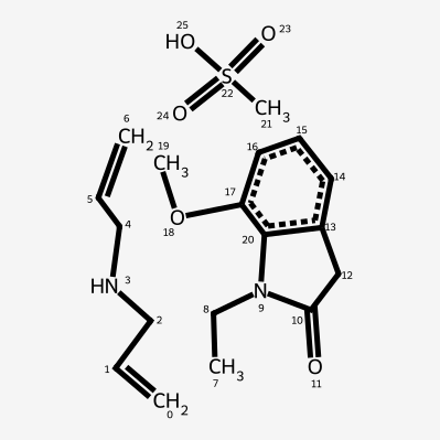 C=CCNCC=C.CCN1C(=O)Cc2cccc(OC)c21.CS(=O)(=O)O